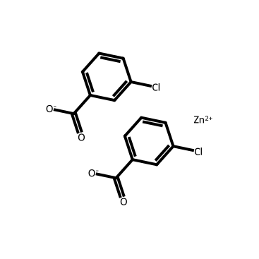 O=C([O-])c1cccc(Cl)c1.O=C([O-])c1cccc(Cl)c1.[Zn+2]